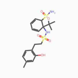 Cc1ccc(CCS(=O)(=O)NC2(C(C)(C)C)C=CC=CC2S(N)(=O)=O)c(O)c1